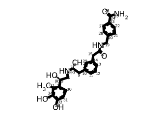 Cc1c([C@@H](O)CN[C@H](C)Cc2cccc(CC(=O)NCc3ccc(C(N)=O)cc3)c2)ccc(O)c1O